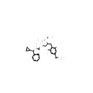 Cc1cc(C(N)=O)cc(C)c1CC(CNC(=O)NC(c1ccccc1)C1CC1)N(C)C